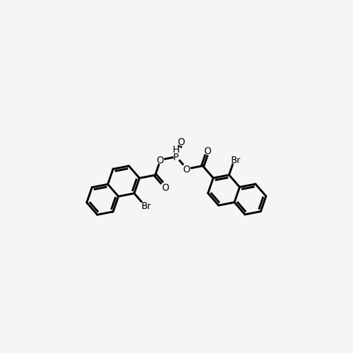 O=C(O[PH](=O)OC(=O)c1ccc2ccccc2c1Br)c1ccc2ccccc2c1Br